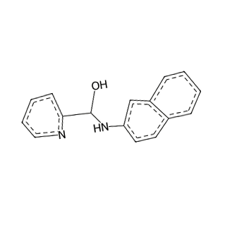 OC(Nc1ccc2ccccc2c1)c1ccccn1